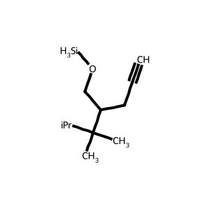 C#CCC(CO[SiH3])C(C)(C)C(C)C